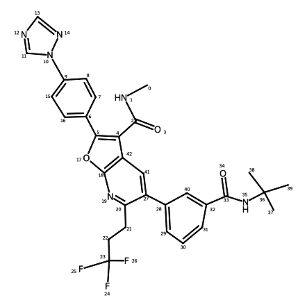 CNC(=O)c1c(-c2ccc(-n3cncn3)cc2)oc2nc(CCC(F)(F)F)c(-c3cccc(C(=O)NC(C)(C)C)c3)cc12